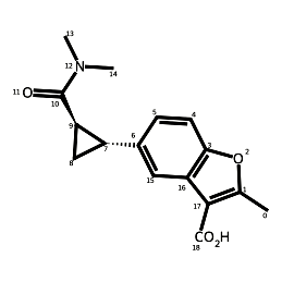 Cc1oc2ccc([C@@H]3C[C@H]3C(=O)N(C)C)cc2c1C(=O)O